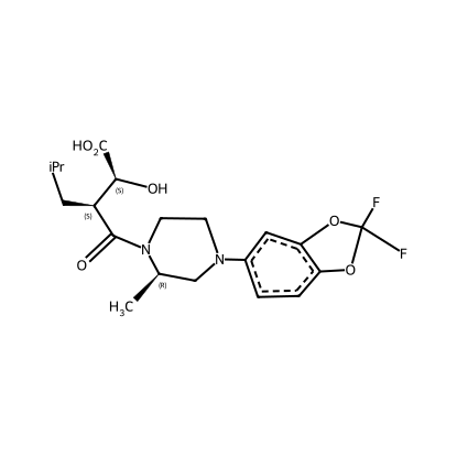 CC(C)C[C@H](C(=O)N1CCN(c2ccc3c(c2)OC(F)(F)O3)C[C@H]1C)[C@H](O)C(=O)O